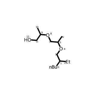 CCCCC(CC)COC(C)COC(C)CO